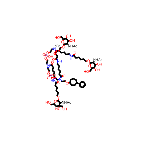 CCCN(CCOP(=O)(O)OCCN(CCOP(=O)(O)OCCN(CCOC1CCCC(c2ccccc2)CC1)C(=O)CCCCCNC(=O)CCCCCOC1OC(CO)C(O)C(O)C1NC(C)=O)C(=O)CCCCCNC(=O)CCCCCOC1OC(CO)CC(O)(CO)C1NC(C)=O)C(=O)CCCCCNC(=O)CCCCCOC1OC(CO)C(O)C(O)C1NC(C)=O